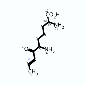 C/C=C/C(=O)C(N)CCC[C@H](N)C(=O)O